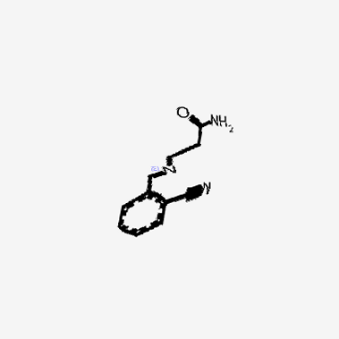 N#Cc1ccccc1/C=N/CCC(N)=O